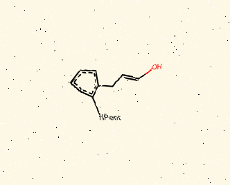 CCCCCc1ccccc1CC=CO